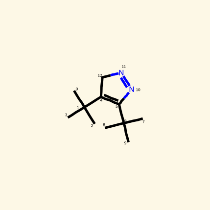 CC(C)(C)C1=C(C(C)(C)C)N=NC1